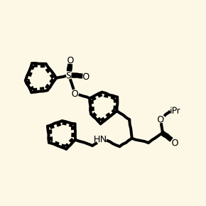 CC(C)OC(=O)CC(CNCc1ccccc1)Cc1ccc(OS(=O)(=O)c2ccccc2)cc1